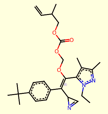 C=CC(C)COC(=O)OCO/C(=C(\c1ccc(C(C)(C)C)cc1)C1C=N1)c1c(C)c(C)nn1CC